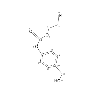 CC(C)CCOC(=O)Oc1ccc(CO)cc1